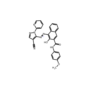 COc1ccc(NC(=O)c2cc3ccccc3c(/N=N/c3c(C#N)cnn3-c3ccccn3)c2O)cc1